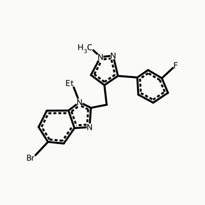 CCn1c(Cc2cn(C)nc2-c2cccc(F)c2)nc2cc(Br)ccc21